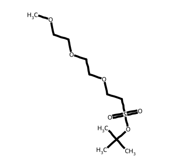 COCCOCCOCCS(=O)(=O)OC(C)(C)C